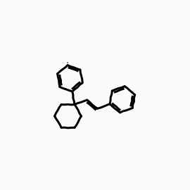 [c]1ccc(C2(C=Cc3ccccc3)CCCCC2)cc1